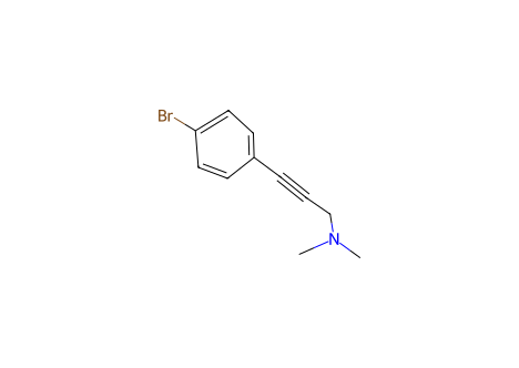 CN(C)CC#Cc1ccc(Br)cc1